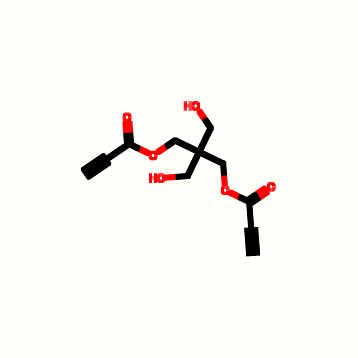 C#CC(=O)OCC(CO)(CO)COC(=O)C#C